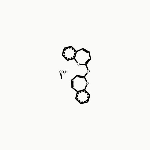 C1=Cc2ccccc2OC(OC2=CC=Cc3ccccc3O2)=C1.CC(=O)O